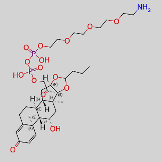 CCCC1O[C@@H]2C[C@H]3[C@@H]4CCC5=CC(=O)C=C[C@]5(C)[C@H]4[C@@H](O)C[C@]3(C)[C@]2(C(=O)COP(=O)(O)OP(=O)(O)OCCOCCOCCOCCN)O1